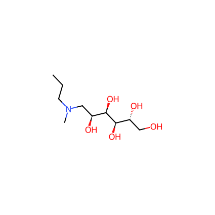 CCCN(C)C[C@H](O)[C@@H](O)[C@H](O)[C@H](O)CO